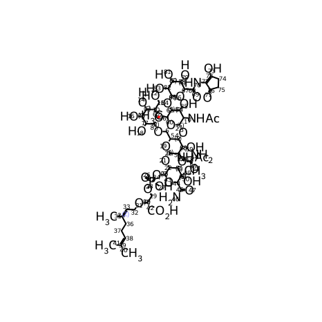 CC(=O)NC1[C@H](O[C@@H]2C(CO[C@@H]3OC(CO)[C@@H](O)[C@H](O)C3O)O[C@@H](OC3[C@H](OP(=O)(O)OC[C@@H](OC/C=C(/C)CCC=C(C)C)C(=O)O)OC(C(N)=O)[C@@](C)(O)[C@@H]3OC(N)=O)C(NC(C)=O)[C@H]2O)OC(C)[C@@H](O[C@@H]2OC(C(=O)NC3=C(O)CCC3=O)[C@H](O)[C@H](O)C2O)[C@@H]1O